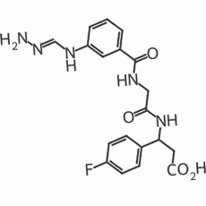 NN=CNc1cccc(C(=O)NCC(=O)NC(CC(=O)O)c2ccc(F)cc2)c1